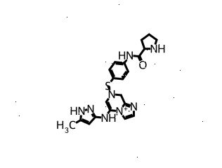 Cc1cc(NC2=CN(Sc3ccc(NC(=O)C4CCCN4)cc3)CC3=NC=C[N+]23)n[nH]1